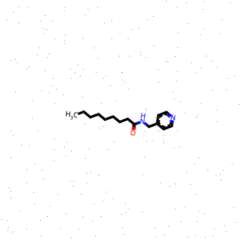 CCCCCCCCC(=O)NCc1ccncc1